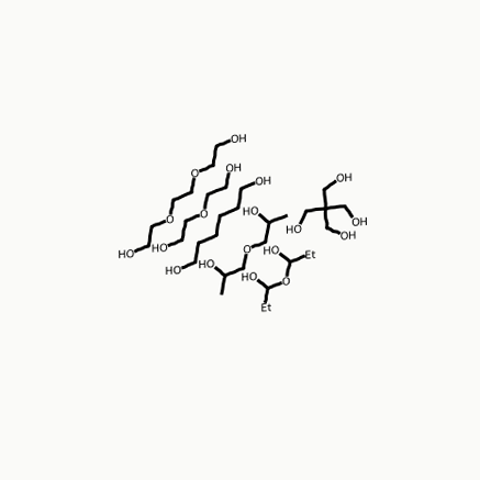 CC(O)COCC(C)O.CCC(O)OC(O)CC.OCC(CO)(CO)CO.OCCCCCCO.OCCOCCO.OCCOCCOCCO